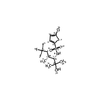 C[C@H](CC(F)(F)F)[C@H](NS(=O)(=O)c1ccc(Cl)s1)C(C)(C)O